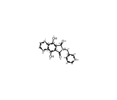 O=C1c2c(c(O)c3nccnc3c2O)C(=O)N1Cc1cccnc1